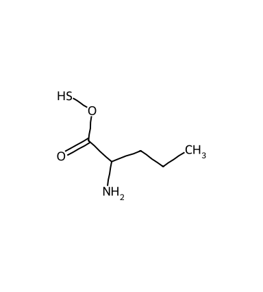 CCCC(N)C(=O)OS